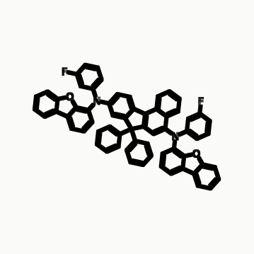 Fc1cccc(N(c2ccc3c(c2)C(c2ccccc2)(c2ccccc2)c2cc(N(c4cccc(F)c4)c4cccc5c4oc4ccccc45)c4ccccc4c2-3)c2cccc3c2oc2ccccc23)c1